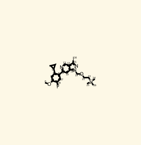 COc1cc(C2CC2)c(-c2cc3c(cn2)c(I)nn3COCC[Si](C)(C)C)cc1F